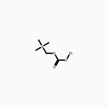 CCOC(=O)OC[Si](C)(C)C